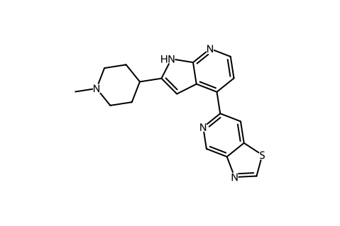 CN1CCC(c2cc3c(-c4cc5scnc5cn4)ccnc3[nH]2)CC1